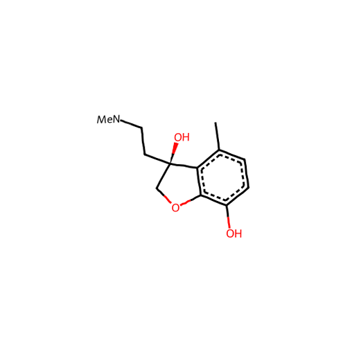 CNCC[C@@]1(O)COc2c(O)ccc(C)c21